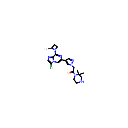 CC1(C)CNCCN1C(=O)Cn1cc(-c2cn3c(Cl)cnc3c(N3CC[C@@H]3C(F)(F)F)n2)cn1